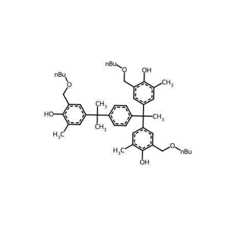 CCCCOCc1cc(C(C)(C)c2ccc(C(C)(c3cc(C)c(O)c(COCCCC)c3)c3cc(C)c(O)c(COCCCC)c3)cc2)cc(C)c1O